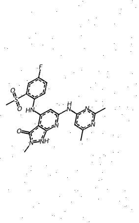 Cc1cc(Nc2cc(Nc3ccc(F)cc3S(C)(=O)=O)c3c(=O)n(C)[nH]c3n2)nc(C)n1